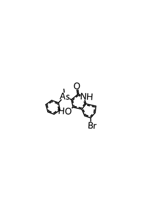 C[As](c1ccccc1)c1c(O)c2cc(Br)ccc2[nH]c1=O